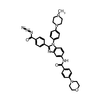 CN1CCN(c2ccc(-n3c(-c4ccc(C(=O)N=[N+]=[N-])cc4)nc4cc(NC(=O)c5ccc(N6CCOCC6)cc5)ccc43)cc2)CC1